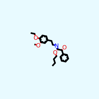 CCCCOC(=NCCc1ccc(OCC)c(OC)c1)C(=O)c1ccccc1